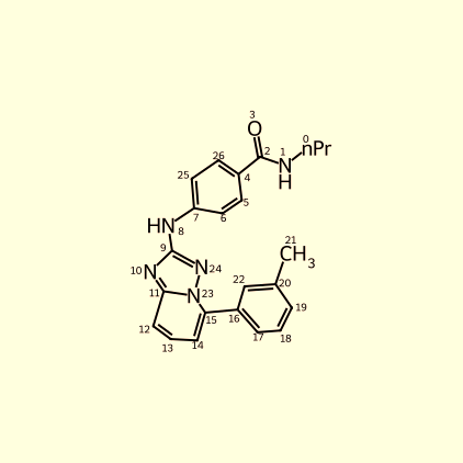 CCCNC(=O)c1ccc(Nc2nc3cccc(-c4cccc(C)c4)n3n2)cc1